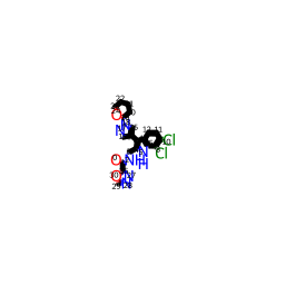 O=C(NCc1[nH]c2c(Cl)c(Cl)ccc2c1-c1cnn(C2CCCCO2)c1)c1nnco1